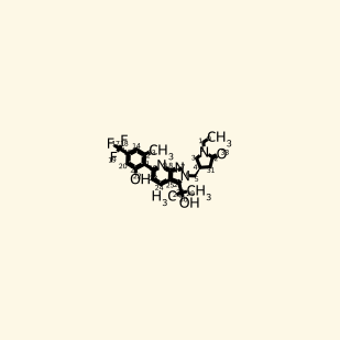 CCN1C[C@H](Cn2nc3nc(-c4c(C)cc(C(F)(F)F)cc4O)ccc3c2C(C)(C)O)CC1=O